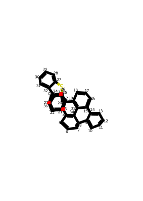 c1ccc(-c2cccc3c4ccccc4c4cccc(-c5cccc6c5sc5ccccc56)c4c23)cc1